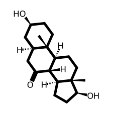 C[C@]12CC[C@H](O)C[C@@H]1CC(=O)[C@@H]1[C@@H]2CC[C@]2(C)[C@@H](O)CC[C@@H]12